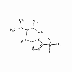 CC(C)N(C(=O)c1nnc(S(C)(=O)=O)s1)C(C)C